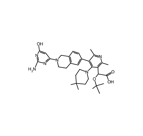 Cc1nc(C)c(C(OC(C)(C)C)C(=O)O)c(N2CCC(C)(C)CC2)c1-c1ccc2c(c1)CCN(c1cc(O)nc(N)n1)C2